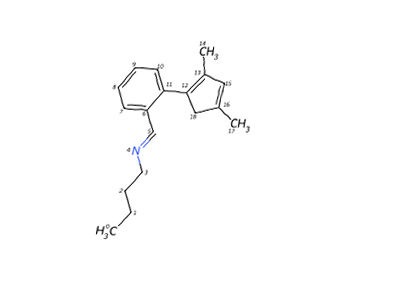 CCCC/N=C/c1ccccc1C1=C(C)C=C(C)C1